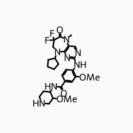 COc1cc(C(=O)NC2CCNCC2OC)ccc1Nc1ncc2c(n1)N(C1CCCC1)CC(F)(F)C(=O)N2C